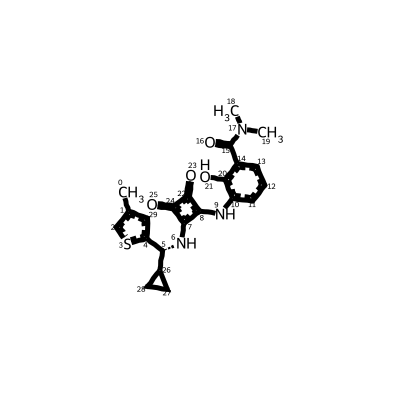 Cc1csc([C@H](Nc2c(Nc3cccc(C(=O)N(C)C)c3O)c(=O)c2=O)C2CC2)c1